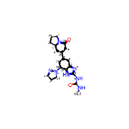 CCNC(=O)Nc1nc2cc(-c3cc4n(c(=O)c3)CCC4)cc(N3CCC=N3)c2[nH]1